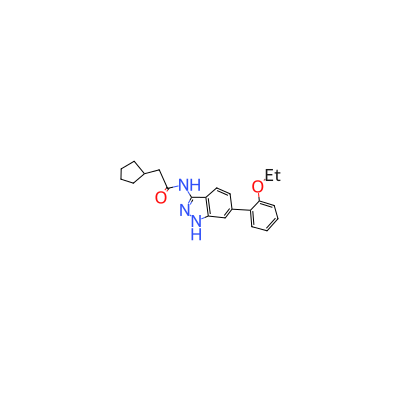 CCOc1ccccc1-c1ccc2c(NC(=O)CC3CCCC3)n[nH]c2c1